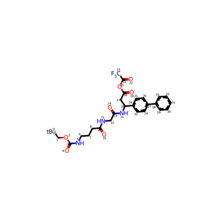 CC(C)(C)COC(=O)NCCCC(=O)NCC(=O)NC(CC(=O)OC(=O)C(F)(F)F)c1ccc(-c2ccccc2)cc1